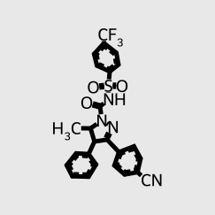 CC1C(c2ccccc2)C(c2ccc(C#N)cc2)=NN1C(=O)NS(=O)(=O)c1ccc(C(F)(F)F)cc1